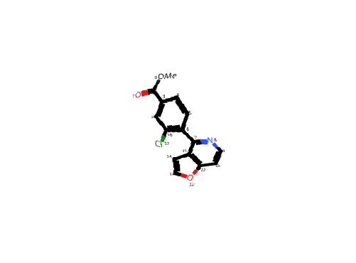 COC(=O)c1ccc(-c2nccc3occc23)c(Cl)c1